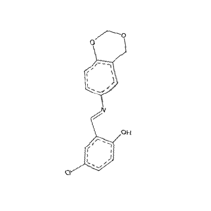 Oc1ccc(Cl)cc1/C=N/c1ccc2c(c1)COCO2